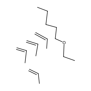 C=CC.C=CC.C=CC.C=CC.CCCCCOCC